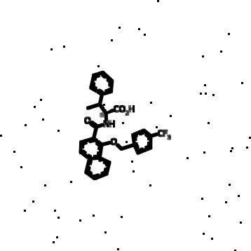 CC(c1ccccc1)[C@H](NC(=O)c1ccc2ccccc2c1OCc1ccc(C(F)(F)F)cc1)C(=O)O